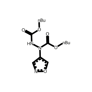 CCCCOC(=O)NN(C(=O)OCCCC)c1cnoc1